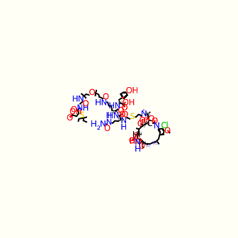 CCC(C)(CC)SC(CC(=O)O)C(=O)NCC(=O)NC(C)(C)CCOC(C)(C)CCC(=O)NCCCC[C@H](NC(=O)[C@H](CCCNC(N)=O)NC(=O)CSCCC(=O)N(C)[C@@H](C)C(=O)O[C@@H]1CC(=O)N(C)c2cc(cc(OC)c2Cl)C/C(C)=C/C=C\[C@@H](OC)[C@@]2(O)C[C@H](OC(=O)N2)C(C)C2O[C@]21C)C(=O)N[C@@H](Cc1ccc(O)cc1)C(=O)O